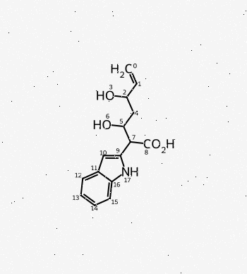 C=CC(O)CC(O)C(C(=O)O)c1cc2ccccc2[nH]1